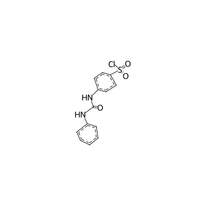 O=C(Nc1ccccc1)Nc1ccc(S(=O)(=O)Cl)cc1